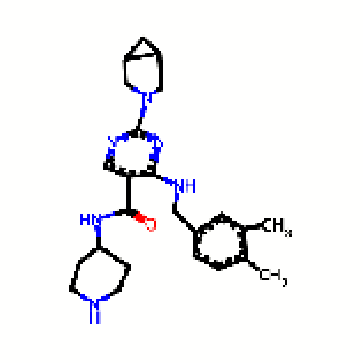 Cc1ccc(CNc2nc(N3CC4CC4C3)ncc2C(=O)NC2CCNCC2)cc1C